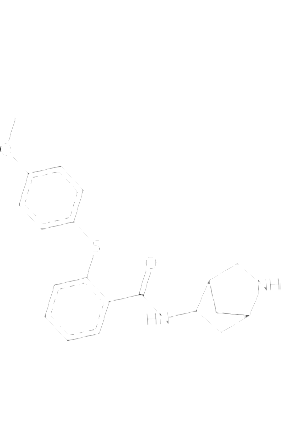 COc1ccc(Sc2ccccc2C(=O)NC2CC3CC2CN3)cc1